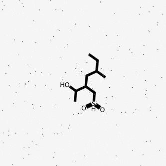 CCC(C)CC(C[SH](=O)=O)C(C)O